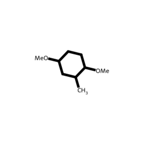 COC1CCC(OC)C(C)C1